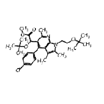 COC(=O)C(OC(C)(C)C)c1c(C)nc2c(c(C)c(C)n2CCOC(C)(C)C)c1-c1ccc(Cl)cc1